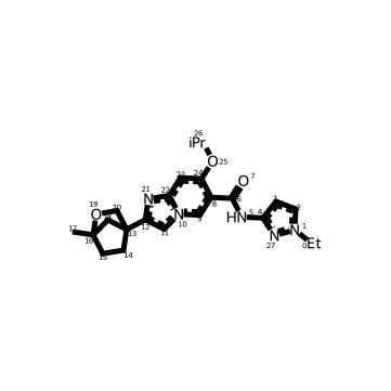 CCn1ccc(NC(=O)c2cn3cc(C45CCC(C)(C4)OC5)nc3cc2OC(C)C)n1